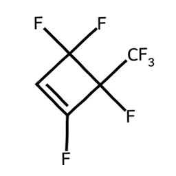 FC1=CC(F)(F)C1(F)C(F)(F)F